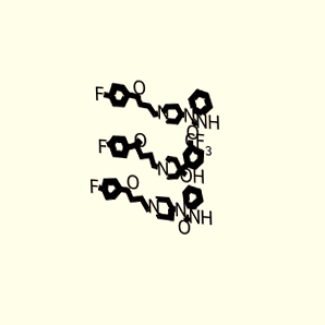 O=C(CCCN1CC=C(n2c(=O)[nH]c3ccccc32)CC1)c1ccc(F)cc1.O=C(CCCN1CCC(O)(c2cccc(C(F)(F)F)c2)CC1)c1ccc(F)cc1.O=C(CCCN1CCC(n2c(=O)[nH]c3ccccc32)CC1)c1ccc(F)cc1